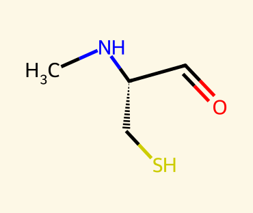 CN[C@H](C=O)CS